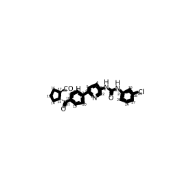 O=C(Nc1ccc(-c2ccc(C(=O)[C@@H]3CCC[C@H]3C(=O)O)cc2)nc1)Nc1cccc(Cl)c1